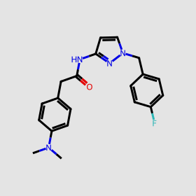 CN(C)c1ccc(CC(=O)Nc2ccn(Cc3ccc(F)cc3)n2)cc1